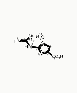 N=C(N)Nc1nc(C(=O)O)cs1.O